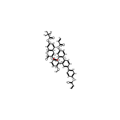 C=CC(=O)Oc1ccc(-c2ccc(-c3ccc(OC(=O)C=C)cc3CC)c(-c3cc(-c4cc5ccc(OC(=O)C(C)(C)C)cc5oc4=O)ccc3OC)c2)cc1